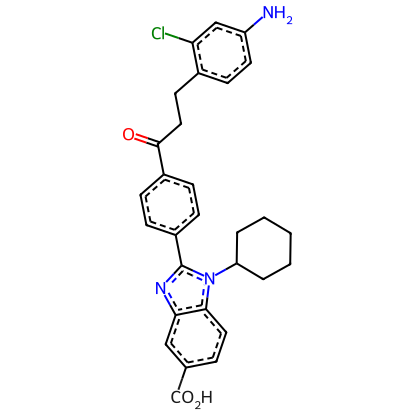 Nc1ccc(CCC(=O)c2ccc(-c3nc4cc(C(=O)O)ccc4n3C3CCCCC3)cc2)c(Cl)c1